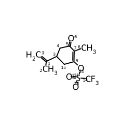 C=C(C)C1CC(=O)C(C)=C(OS(=O)(=O)C(F)(F)F)C1